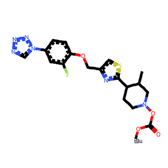 CC1CN(OC(=O)OC(C)(C)C)CCC1c1nc(COc2ccc(-n3cnnn3)cc2F)cs1